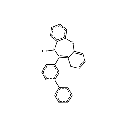 ON1C(c2cccc(-c3ccccc3)c2)=C2CC=CC=C2Oc2ccccc21